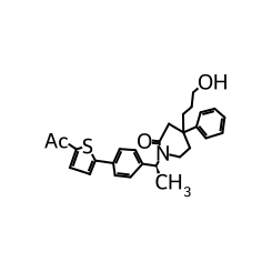 CC(=O)c1ccc(-c2ccc([C@H](C)N3CCC(CCCO)(c4ccccc4)CC3=O)cc2)s1